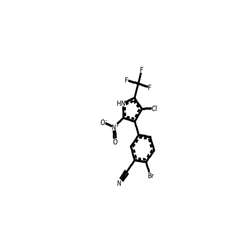 N#Cc1cc(-c2c([N+](=O)[O-])[nH]c(C(F)(F)F)c2Cl)ccc1Br